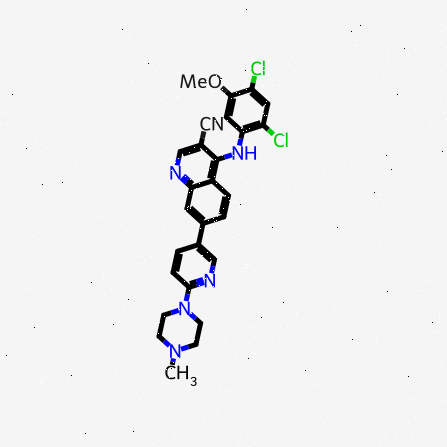 COc1cc(Nc2c(C#N)cnc3cc(-c4ccc(N5CCN(C)CC5)nc4)ccc23)c(Cl)cc1Cl